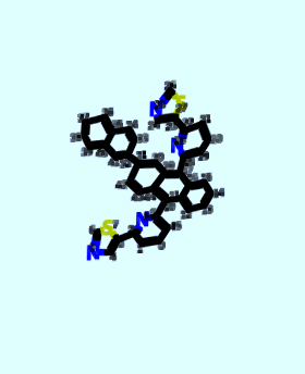 c1cc(-c2cncs2)nc(-c2c3ccccc3c(-c3cccc(-c4cncs4)n3)c3cc(-c4ccc5ccccc5c4)ccc23)c1